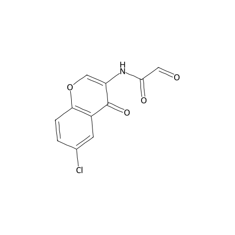 O=CC(=O)Nc1coc2ccc(Cl)cc2c1=O